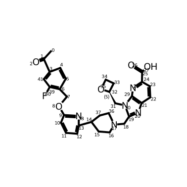 CC(=O)c1ccc(COc2cccc(C3CCN(Cc4nc5ccc(C(=O)O)nc5n4C[C@@H]4CCO4)CC3)n2)c(F)c1